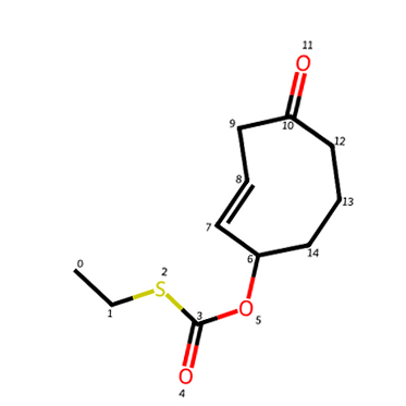 CCSC(=O)OC1/C=C/CC(=O)CCC1